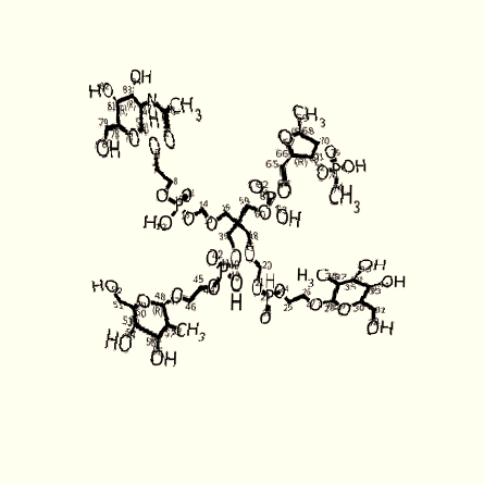 CC(=O)NC1[C@H](OCCOP(=O)(O)OCOCC(COCO[PH](=O)OCCO[C@@H]2OC(CO)[C@H](O)[C@H](O)C2C)(COP(=O)(O)OCCO[C@@H]2OC(CO)[C@H](O)[C@H](O)C2C)COP(=O)(O)OC[C@H]2O[C@@H](C)C[C@@H]2OP(C)(=O)O)OC(CO)[C@H](O)[C@@H]1O